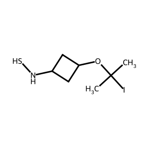 CC(C)(I)OC1CC(NS)C1